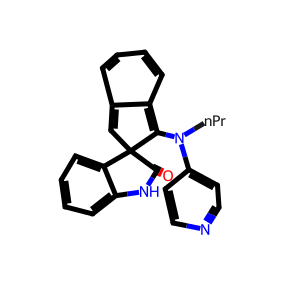 CCCN(C1=c2ccccc2=CC12C(=O)Nc1ccccc12)c1ccncc1